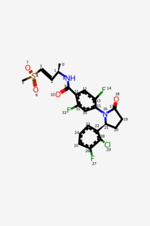 C[C@H](/C=C/S(C)(=O)=O)NC(=O)c1cc(F)c(N2C(=O)CC[C@H]2c2cccc(F)c2Cl)cc1F